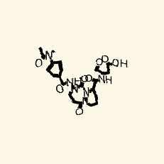 CC(=O)N(C)c1ccc(C(=O)NN2CCC(=O)N3CCCC(C(=O)NC(C=O)CC(=O)O)N3C2=O)cc1